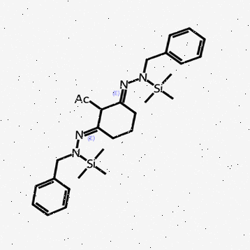 CC(=O)C1/C(=N/N(Cc2ccccc2)[Si](C)(C)C)CCC/C1=N\N(Cc1ccccc1)[Si](C)(C)C